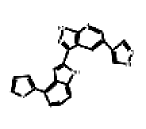 c1csc(-c2cccc3[nH]c(-c4n[nH]c5ncc(-c6cn[nH]c6)cc45)cc23)c1